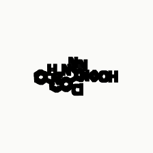 Nc1ncnc2c1c(-c1cc3nc(-c4ccccc4)ccc3cc1Cl)cn2C1CC(O)C1